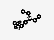 C1=CC2=C(CC1)C1(c3ccccc3Oc3ccc(-c4ccc(-c5cc(-c6cccc(-c7ccccc7)c6)nc(-c6cccc(-c7ccccc7)c6)n5)cc4)cc31)c1ccccc12